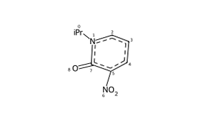 CC(C)n1cccc([N+](=O)[O-])c1=O